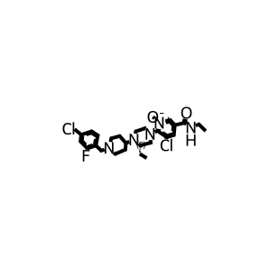 CCNC(=O)c1cc(Cl)c(N2CCN(C3CCN(Cc4ccc(Cl)cc4F)CC3)[C@@H](CC)C2)[n+]([O-])c1